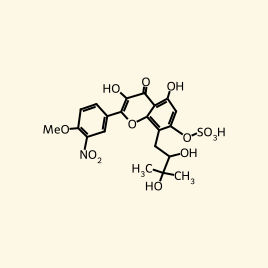 COc1ccc(-c2oc3c(CC(O)C(C)(C)O)c(OS(=O)(=O)O)cc(O)c3c(=O)c2O)cc1[N+](=O)[O-]